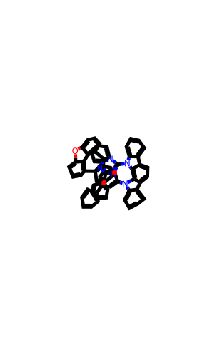 c1ccc(-c2cc(-c3ccccc3)cc(-n3c4ccccc4c4ccc5c6ccccc6n(-c6nc(-c7ccccc7)nc(-c7cccc8oc9cccc(-c%10ccccc%10)c9c78)n6)c5c43)c2)cc1